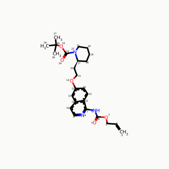 C=CCOC(=O)Nc1nccc2cc(OCC[C@@H]3CCCCN3C(=O)OC(C)(C)C)ccc12